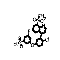 CCS(=O)(=O)c1cc(F)cc(Oc2ccc(Cl)c(-c3ccnc4c(S(C)(=O)=O)cccc34)c2)c1